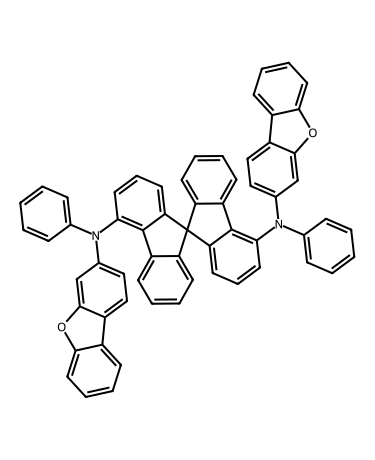 c1ccc(N(c2ccc3c(c2)oc2ccccc23)c2cccc3c2-c2ccccc2C32c3ccccc3-c3c(N(c4ccccc4)c4ccc5c(c4)oc4ccccc45)cccc32)cc1